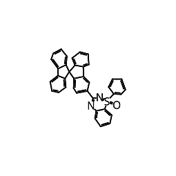 O=S1(c2ccccc2)=NC(c2ccc3c(c2)-c2ccccc2C32c3ccccc3-c3ccccc32)=Nc2ccccc21